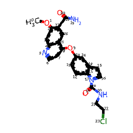 COc1cc2nccc(Oc3ccc4c(ccn4C(=O)NCCCl)c3)c2cc1C(N)=O